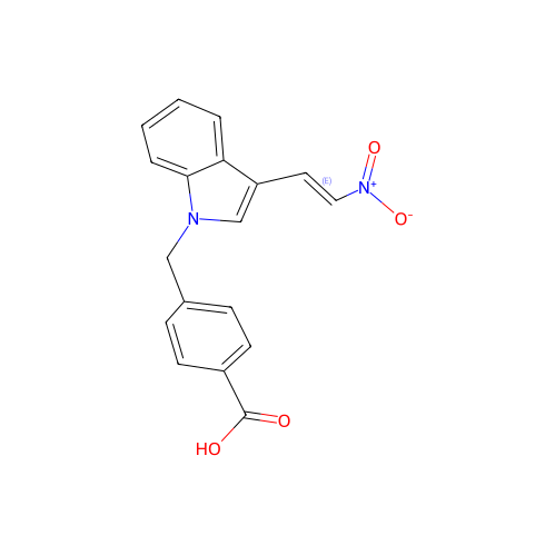 O=C(O)c1ccc(Cn2cc(/C=C/[N+](=O)[O-])c3ccccc32)cc1